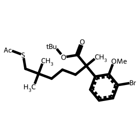 COc1c(Br)cccc1C(C)(CCCC(C)(C)CSC(C)=O)C(=O)OC(C)(C)C